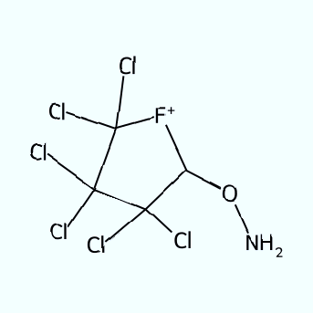 NOC1[F+]C(Cl)(Cl)C(Cl)(Cl)C1(Cl)Cl